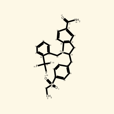 CCS(=O)(=O)c1ccc(CC2Cc3cc(C(N)=O)ccc3N2Cc2ccccc2C(F)(F)F)cc1